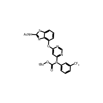 CC(=O)Nc1nc2c(Oc3cc(N(C(=O)OC(C)(C)C)c4cccc(C(F)(F)F)c4)ncn3)cccc2s1